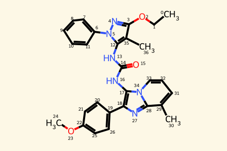 CCOc1nn(-c2ccccc2)c(NC(=O)Nc2c(-c3ccc(OC)cc3)nc3c(C)cccn23)c1C